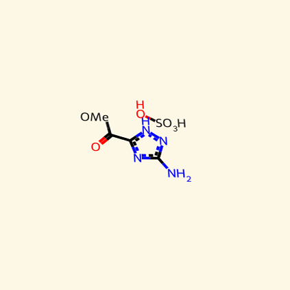 COC(=O)c1nc(N)n[nH]1.O=S(=O)(O)O